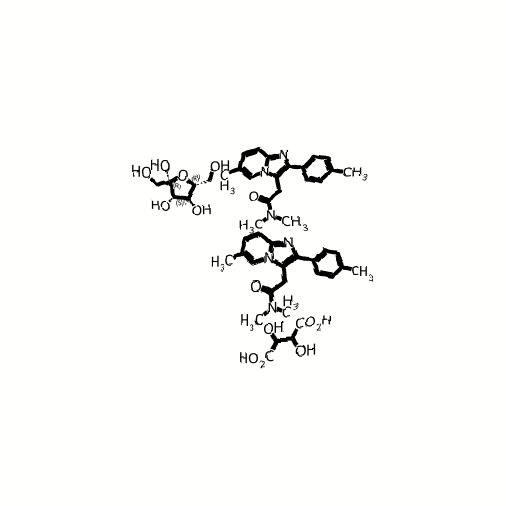 Cc1ccc(-c2nc3ccc(C)cn3c2CC(=O)N(C)C)cc1.Cc1ccc(-c2nc3ccc(C)cn3c2CC(=O)N(C)C)cc1.O=C(O)C(O)C(O)C(=O)O.OC[C@H]1O[C@](O)(CO)[C@@H](O)[C@@H]1O